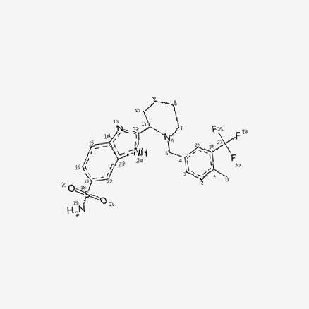 Cc1ccc(CN2CCCCC2c2nc3ccc(S(N)(=O)=O)cc3[nH]2)cc1C(F)(F)F